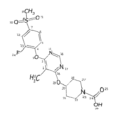 Cc1c(Oc2ccc(S(C)(=O)=O)cc2F)ncnc1OC1CCN(C(=O)O)CC1